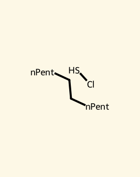 CCCCCCCCCCCC.SCl